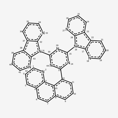 c1cnc2c(c1)ccc1cccc(-c3nc(-n4c5ncccc5c5cccnc54)nc(-n4c5ncccc5c5cccnc54)n3)c12